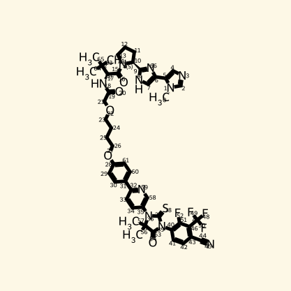 Cn1cncc1-c1c[nH]c([C@@H]2CCCN2C(=O)[C@@H](NC(=O)COCCCCOc2ccc(-c3ccc(N4C(=S)N(c5ccc(C#N)c(C(F)(F)F)c5F)C(=O)C4(C)C)cn3)cc2)C(C)(C)C)n1